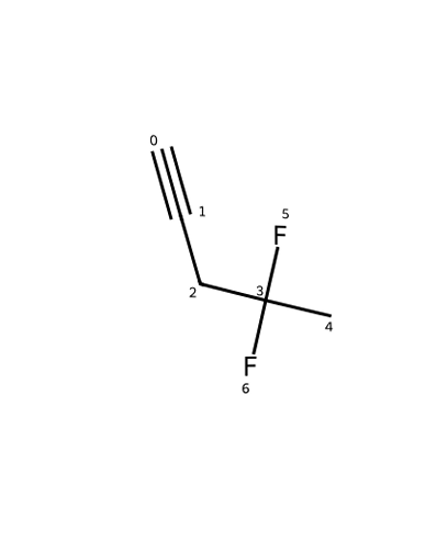 C#CCC(C)(F)F